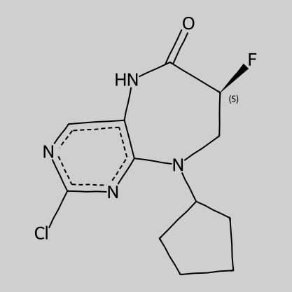 O=C1Nc2cnc(Cl)nc2N(C2CCCC2)C[C@@H]1F